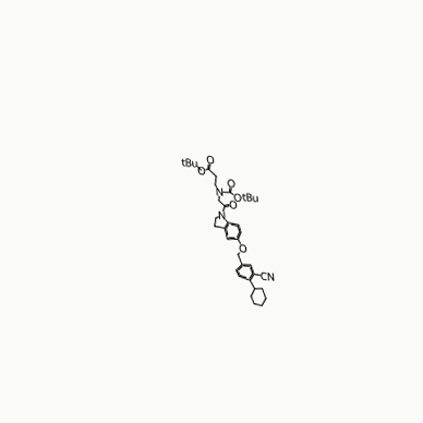 CC(C)(C)OC(=O)CCN(CC(=O)N1CCc2cc(OCc3ccc(C4CCCCC4)c(C#N)c3)ccc21)C(=O)OC(C)(C)C